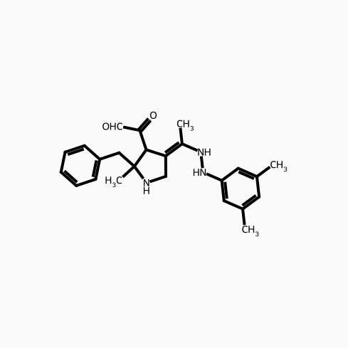 CC(NNc1cc(C)cc(C)c1)=C1CNC(C)(Cc2ccccc2)C1C(=O)C=O